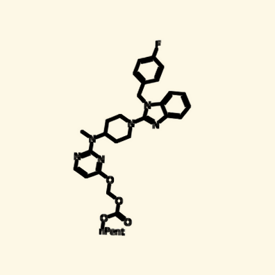 CCCCCOC(=O)OCOc1ccnc(N(C)C2CCN(c3nc4ccccc4n3Cc3ccc(F)cc3)CC2)n1